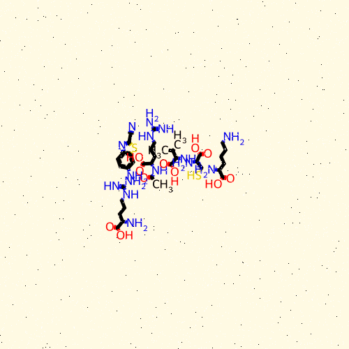 CC(=O)NC(CCCNC(=N)N)C(=O)O.CC(C)C(N)C(=O)O.N#Cc1nc2ccc(N)cc2s1.N=C(N)NCCCC(N)C(=O)O.NC(CS)C(=O)O.NCCCCC(N)C(=O)O